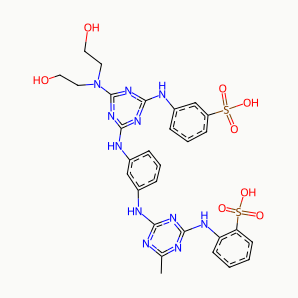 Cc1nc(Nc2cccc(Nc3nc(Nc4cccc(S(=O)(=O)O)c4)nc(N(CCO)CCO)n3)c2)nc(Nc2ccccc2S(=O)(=O)O)n1